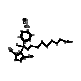 CCCCCCCCCCCCCCCCCC[Si](C)(C1=[C]([Ti+3])CC=C1CCC)c1ccccc1.[Cl-].[Cl-].[Cl-]